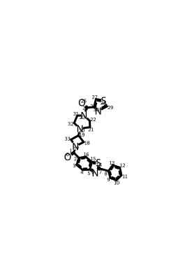 O=C(c1ccc2nc(-c3ccccc3)sc2c1)N1CC(N2CCN(C(=O)c3cscn3)CC2)C1